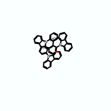 N#Cc1cccc(-n2c3ccccc3c3cccc(C#N)c32)c1-c1ccccc1-n1c2ccccc2c2ccc(-n3c4ccccc4c4ccccc43)cc21